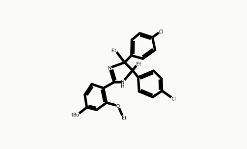 CCOc1cc(C(C)(C)C)ccc1C1=NC(CC)(c2ccc(Cl)cc2)C(CC)(c2ccc(Cl)cc2)N1